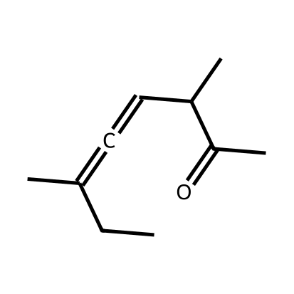 CCC(C)=C=CC(C)C(C)=O